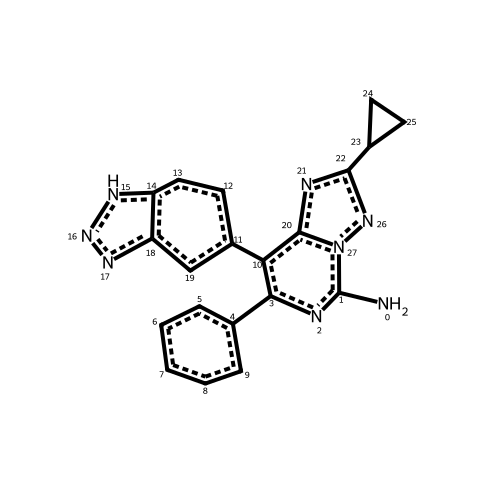 Nc1nc(-c2ccccc2)c(-c2ccc3[nH]nnc3c2)c2nc(C3CC3)nn12